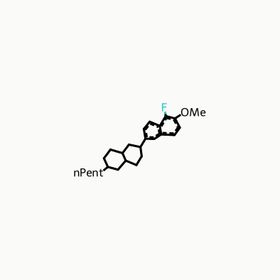 CCCCCC1CCC2CC(c3ccc4c(F)c(OC)ccc4c3)CCC2C1